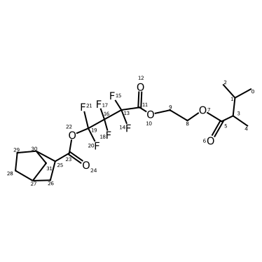 CC(C)C(C)C(=O)OCCOC(=O)C(F)(F)C(F)(F)C(F)(F)OC(=O)C1CC2CCC1C2